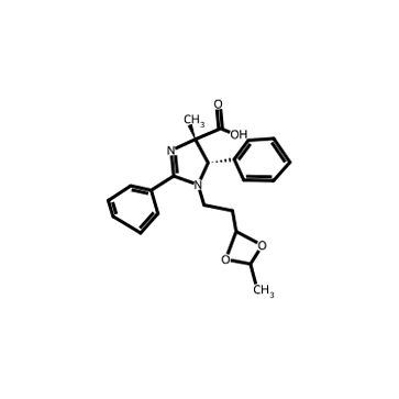 CC1OC(CCN2C(c3ccccc3)=N[C@](C)(C(=O)O)[C@@H]2c2ccccc2)O1